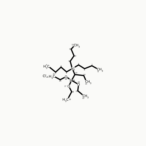 CCCC[N+](CCCC)(CCCC)C(CC)[Si](OCC)(OCC)OCC.[Cl-]